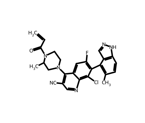 C=CC(=O)N1CCN(c2c(C#N)cnc3c(Cl)c(-c4c(C)ccc5[nH]ncc45)c(F)cc23)CC1C